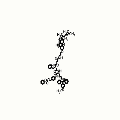 COc1ccc(C(NCCCC[C@H](NC(=O)C[C@H](Cc2ccccc2)NC(=O)CCC(=O)NCCCO[C@H]2CC[C@@]3(C)C(=CC[C@H]4[C@@H]5CC[C@H]([C@H](C)CCCC(C)C)[C@@]5(C)CC[C@@H]43)C2)C(=O)Nc2ccc(COC(=O)Oc3ccccc3)cc2)(c2ccccc2)c2ccccc2)cc1